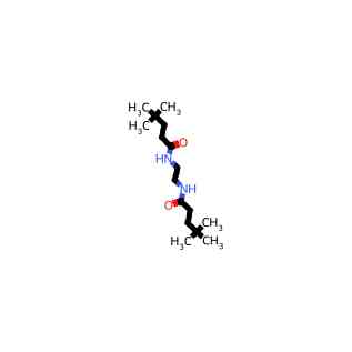 CC(C)(C)CCC(=O)NCCNC(=O)CCC(C)(C)C